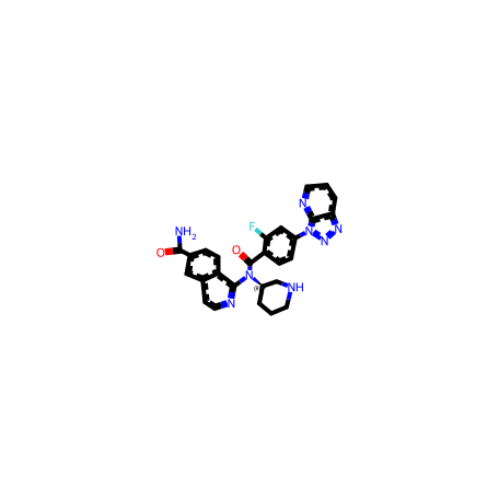 NC(=O)c1ccc2c(N(C(=O)c3ccc(-n4nnc5cccnc54)cc3F)[C@@H]3CCCNC3)nccc2c1